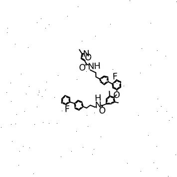 Cc1cc(C(=O)NCCCc2ccc(-c3cc(Oc4c(C)cc(C(=O)NCCCc5ccc(-c6ccccc6F)cc5)cc4C)ccc3F)cc2)on1